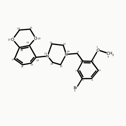 COc1ccc(Br)cc1CN1CCN(c2cccc3c2OCCO3)CC1